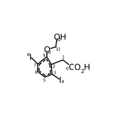 O=C(O)Cc1c(I)ccc(I)c1OCO